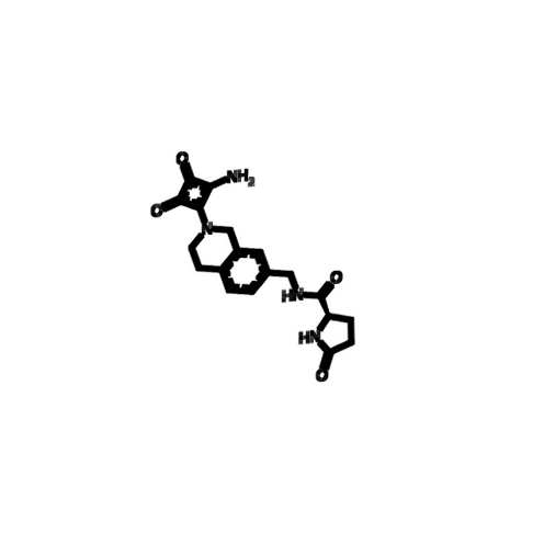 Nc1c(N2CCc3ccc(CNC(=O)[C@H]4CCC(=O)N4)cc3C2)c(=O)c1=O